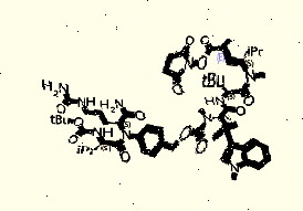 C/C(=C\[C@H](C(C)C)N(C)C(=O)[C@@H](NC(=O)[C@@H](N(C)C(=O)OCc1ccc(N(C(=O)[C@@H](NC(=O)OC(C)(C)C)C(C)C)[C@@H](CCCNC(N)=O)C(N)=O)cc1)C(C)(C)c1cn(C)c2ccccc12)C(C)(C)C)C(=O)ON1C(=O)CCC1=O